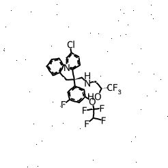 O[C@H](CNC[C@](Cc1ccccc1)(c1cc(F)cc(OC(F)(F)C(F)F)c1)c1ccc(Cl)cn1)C(F)(F)F